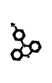 Brc1ccc(N2c3ccccc3Sc3ccccc32)cc1